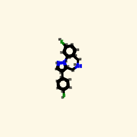 Fc1ccc(-c2cnn3c2CNCc2ccc(F)cc2-3)cc1